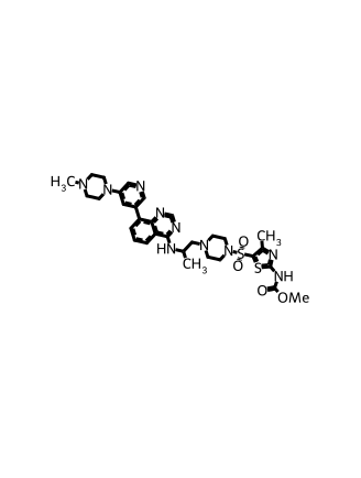 COC(=O)Nc1nc(C)c(S(=O)(=O)N2CCN(CC(C)Nc3ncnc4c(-c5cncc(N6CCN(C)CC6)c5)cccc34)CC2)s1